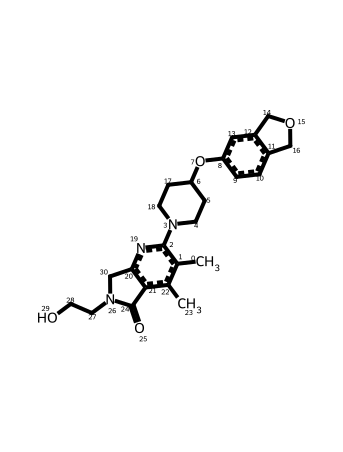 Cc1c(N2CCC(Oc3ccc4c(c3)COC4)CC2)nc2c(c1C)C(=O)N(CCO)C2